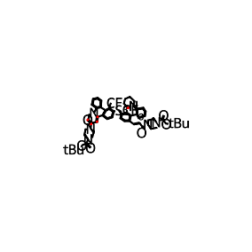 CC(C)(C)OC(=O)N1CCN(C(=O)/C=C/c2ccc(Sc3ccc(/C=C/C(=O)N4CCN(C(=O)OC(C)(C)C)CC4)c(-c4ccccc4N4CCCCC4)c3C(F)(F)F)c(C(F)(F)F)c2-c2ccccc2N2CCCCC2)CC1